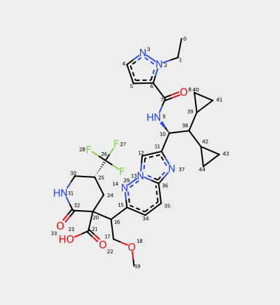 CCn1nccc1C(=O)N[C@H](c1cn2nc(C(COC)C3(C(=O)O)C[C@@H](C(F)(F)F)CNC3=O)ccc2n1)C(C1CC1)C1CC1